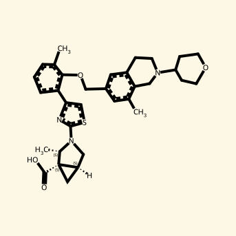 Cc1cc(COc2c(C)cccc2-c2csc(N3C[C@H]4C[C@@]4(C(=O)O)[C@@H]3C)n2)cc2c1CN(C1CCOCC1)CC2